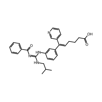 CC(C)CNC(=NC(=O)c1ccccc1)Nc1cccc(C(=CCCCC(=O)O)c2cccnc2)c1